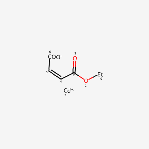 CCOC(=O)/C=C\C(=O)[O-].[Cd+]